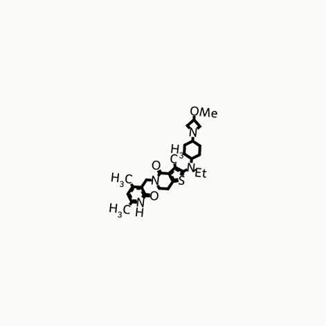 CCN(c1sc2c(c1C)C(=O)N(Cc1c(C)cc(C)[nH]c1=O)CC2)C1CCC(N2CC(OC)C2)CC1